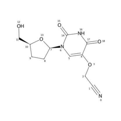 N#CCOc1cn([C@H]2CC[C@@H](CO)O2)c(=O)[nH]c1=O